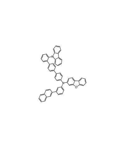 c1cc(-c2ccc3ccccc3c2)cc(N(c2ccc(-c3ccc(-c4ccccc4-n4c5ccccc5c5ccccc54)cc3)cc2)c2ccc3c(c2)oc2ccccc23)c1